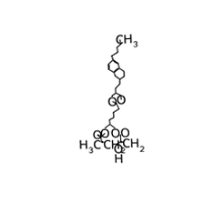 C=C(C)C(=O)OCC(CCCCC1OCC(CCC2CCc3cc(CCCCC)ccc3C2)CO1)COC(=O)C(=C)CO